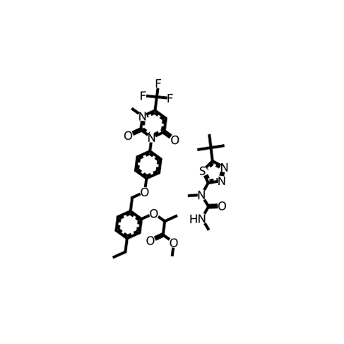 CCc1ccc(COc2ccc(-n3c(=O)cc(C(F)(F)F)n(C)c3=O)cc2)c(OC(C)C(=O)OC)c1.CNC(=O)N(C)c1nnc(C(C)(C)C)s1